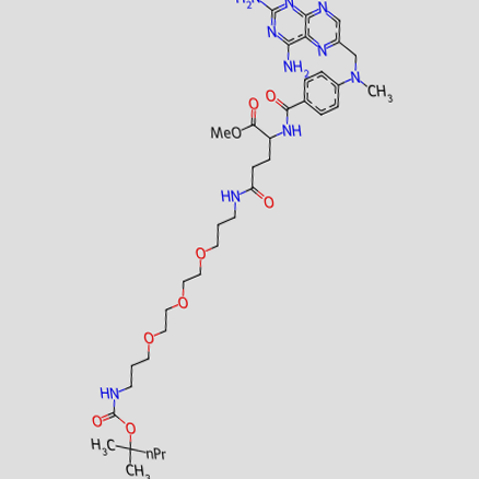 CCCC(C)(C)OC(=O)NCCCOCCOCCOCCCNC(=O)CCC(NC(=O)c1ccc(N(C)Cc2cnc3nc(N)nc(N)c3n2)cc1)C(=O)OC